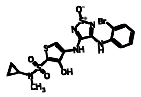 CN(C1CC1)S(=O)(=O)c1scc(Nc2n[s+]([O-])nc2Nc2ccccc2Br)c1O